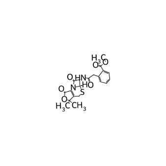 COC(=O)c1ccccc1CC(=O)NC1C(=O)N2C3=C(CS[C@@H]12)C(C)(C)OC3=O